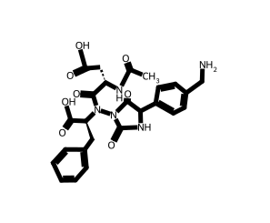 CC(=O)N[C@@H](CC(=O)O)C(=O)N([C@@H](Cc1ccccc1)C(=O)O)N1C(=O)NC(c2ccc(CN)cc2)C1=O